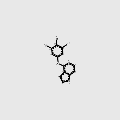 Fc1cc(Oc2nccc3occc23)cc(F)c1Br